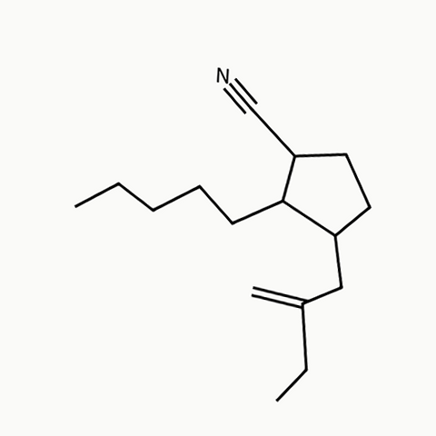 C=C(CC)CC1CCC(C#N)C1CCCCC